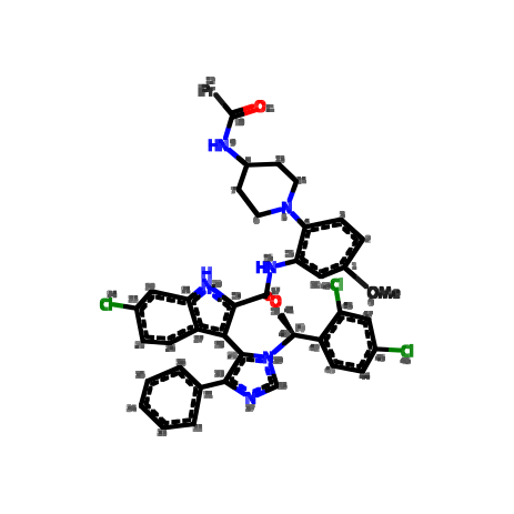 COc1ccc(N2CCC(NC(=O)C(C)C)CC2)c(NC(=O)c2[nH]c3cc(Cl)ccc3c2-c2c(-c3ccccc3)ncn2[C@@H](C)c2ccc(Cl)cc2Cl)c1